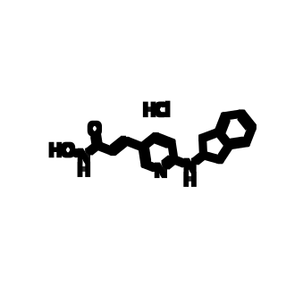 Cl.O=C(/C=C/c1ccc(NC2Cc3ccccc3C2)nc1)NO